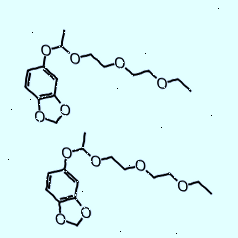 CCOCCOCCOC(C)Oc1ccc2c(c1)OCO2.CCOCCOCCOC(C)Oc1ccc2c(c1)OCO2